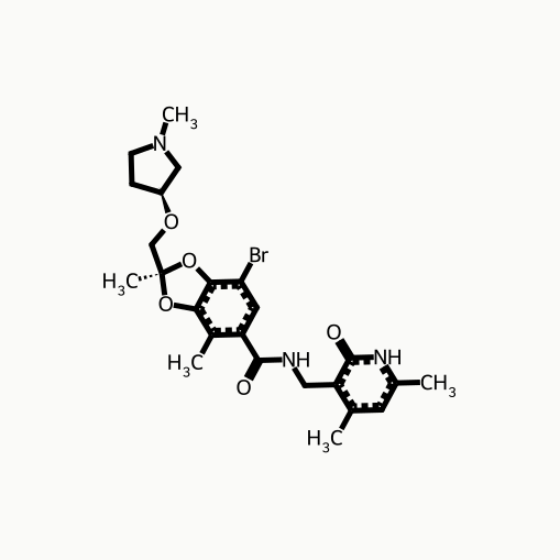 Cc1cc(C)c(CNC(=O)c2cc(Br)c3c(c2C)O[C@@](C)(CO[C@H]2CCN(C)C2)O3)c(=O)[nH]1